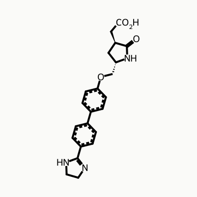 O=C(O)C[C@@H]1C[C@@H](COc2ccc(-c3ccc(C4=NCCN4)cc3)cc2)NC1=O